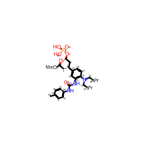 COC(=O)C[C@H](CCOP(=O)(O)O)c1ccc(N(CC(C)C)CC(C)C)c(NC(=O)Nc2ccc(C)cc2)c1